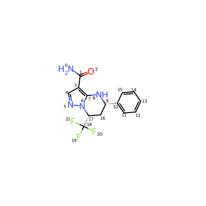 NC(=O)c1cnn2c1N[C@H](c1ccccc1)C[C@@H]2C(F)(F)F